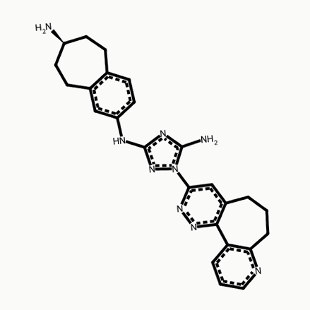 Nc1nc(Nc2ccc3c(c2)CC[C@@H](N)CC3)nn1-c1cc2c(nn1)-c1cccnc1CCC2